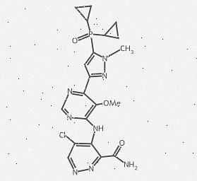 COc1c(Nc2c(Cl)cnnc2C(N)=O)ncnc1-c1cc(P(=O)(C2CC2)C2CC2)n(C)n1